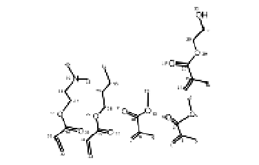 C=C(C)C(=O)OC.C=C(C)C(=O)OC.C=C(C)C(=O)OCCO.C=CC(=O)OCCCC.C=CC(=O)OCCN(C)C